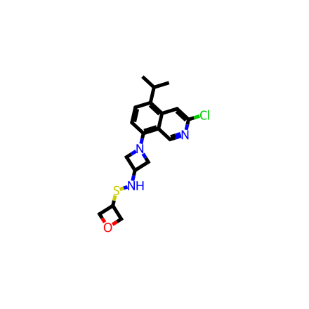 CC(C)c1ccc(N2CC(NSC3COC3)C2)c2cnc(Cl)cc12